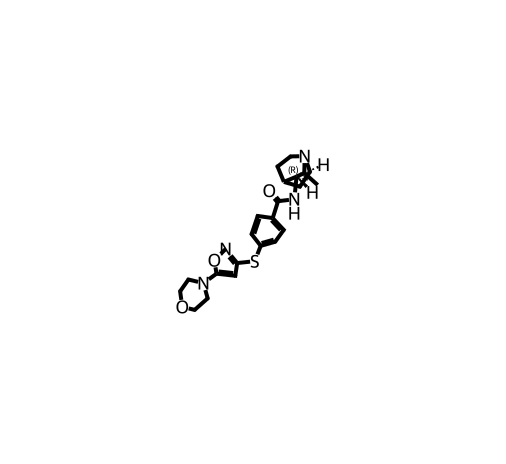 C[C@H]1[C@H](NC(=O)c2ccc(Sc3cc(N4CCOCC4)on3)cc2)C2CCN1CC2